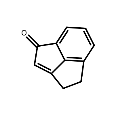 O=C1C=C2CCc3cccc1c32